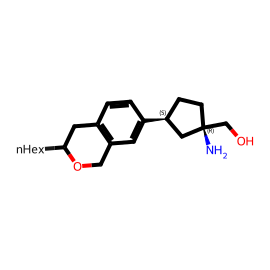 CCCCCCC1Cc2ccc([C@H]3CC[C@](N)(CO)C3)cc2CO1